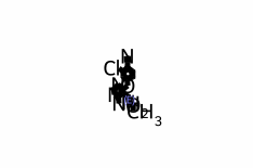 CO/N=C/c1c(N)ncnc1Oc1ccc(C#N)c(Cl)c1